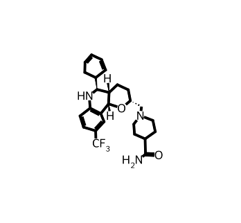 NC(=O)C1CCN(C[C@H]2CC[C@@H]3[C@H](O2)c2cc(C(F)(F)F)ccc2N[C@H]3C2C=CC=CC2)CC1